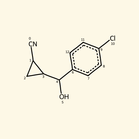 N#CC1CC1C(O)c1ccc(Cl)cc1